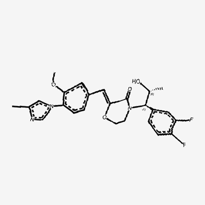 COc1cc(C=C2OCCN([C@H](c3ccc(F)c(F)c3)[C@@H](C)O)C2=O)ccc1-n1cnc(C)c1